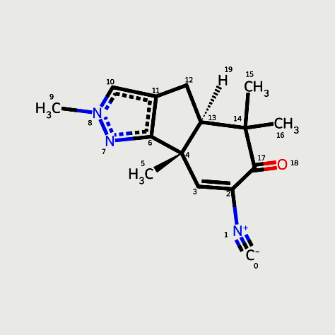 [C-]#[N+]C1=C[C@]2(C)c3nn(C)cc3C[C@H]2C(C)(C)C1=O